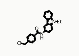 CCn1c2ccccc2c2cc(NC(=O)c3ccc(CCl)cc3)ccc21